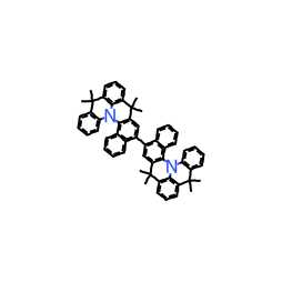 CC1(C)c2ccccc2N2c3c1cccc3C(C)(C)c1cc(-c3cc4c(c5ccccc35)N3c5ccccc5C(C)(C)c5cccc(c53)C4(C)C)c3ccccc3c12